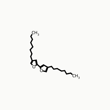 CCCCCCCCc1coc(-c2cc(CCCCCCCC)co2)c1